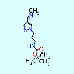 C/N=C/c1cnn(CCCNC(=O)OC(C)(C)C)c1